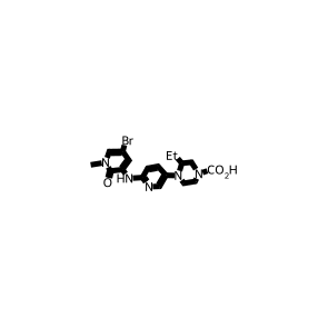 CCC1CN(C(=O)O)CCN1c1ccc(Nc2cc(Br)cn(C)c2=O)nc1